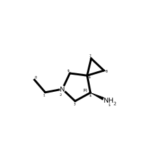 CCN1C[C@H](N)C2(CC2)C1